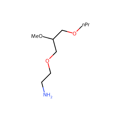 CCCOCC(COCCN)OC